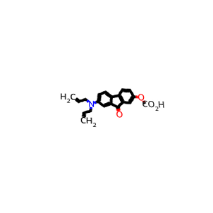 C=CCN(CC=C)c1ccc2c(c1)C(=O)c1cc(OC(=O)O)ccc1-2